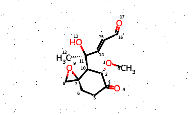 CO[C@@H]1C(=O)CC[C@]2(CO2)[C@H]1[C@@](C)(O)/C=C/C=O